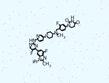 Cc1nc2c(F)cc(-c3nc(Nc4ccc(N5CCC(N(C)Cc6ccc(N7CCC(=O)NC7=O)cc6F)CC5)cn4)ncc3F)cc2n1C(C)C